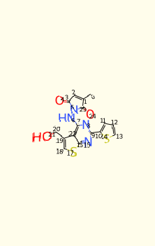 CC1=CC(=O)N(Nc2nc(-c3cccs3)nc3scc(CO)c23)C1=O